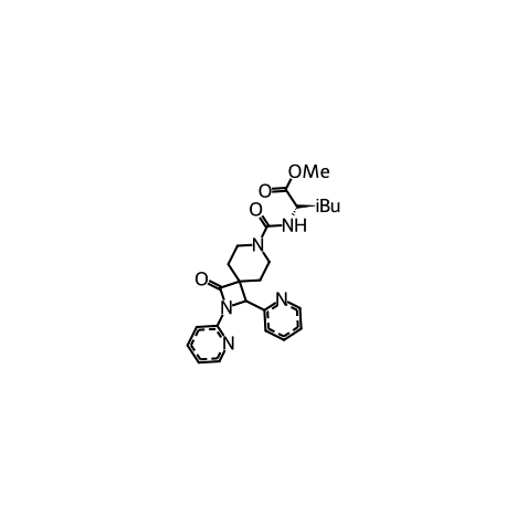 CC[C@H](C)[C@H](NC(=O)N1CCC2(CC1)C(=O)N(c1ccccn1)C2c1ccccn1)C(=O)OC